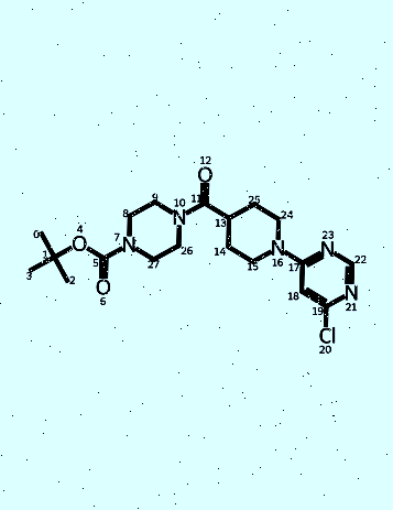 CC(C)(C)OC(=O)N1CCN(C(=O)C2CCN(c3cc(Cl)ncn3)CC2)CC1